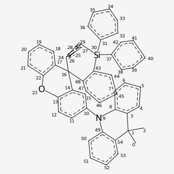 CC1(C)c2ccccc2N(c2ccc3c(c2)C2(c4ccccc4O3)c3ccccc3[Si](c3ccccc3)(c3ccccc3)c3ccccc32)c2ccccc21